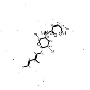 C/C=C/C(C)=C/C[C@@H]1O[C@H](C)[C@H](NC(=O)/C=C\[C@H](C)O)C[C@@H]1C